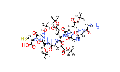 CC(C)(C)OC[C@H](NC(=O)[C@H](COC(C)(C)C)NC(=O)[C@H](CCC(=O)OC(C)(C)C)NC(=O)[C@H](CCC(=O)OC(C)(C)C)NC(=O)[C@H](CCC(=O)OC(C)(C)C)NC(=O)CNC(=O)CNC(=O)CN)C(=O)N[C@@H](CS)C(=O)O